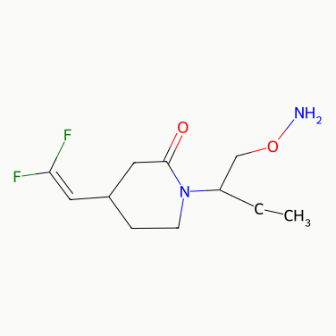 CCC(CON)N1CCC(C=C(F)F)CC1=O